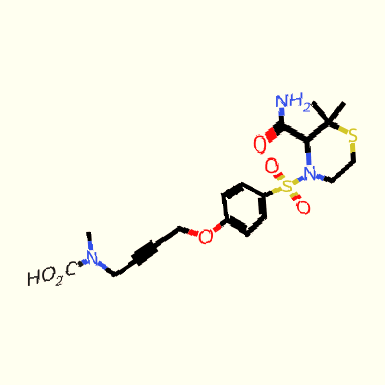 CN(CC#CCOc1ccc(S(=O)(=O)N2CCSC(C)(C)C2C(N)=O)cc1)C(=O)O